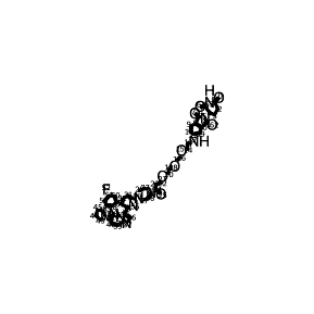 O=C1CCC(N2C(=O)c3ccc(NCCOCCOCCOCCC(=O)N4CCN(c5cccc(-c6cnc7ccc(N8CCC[C@@H]8c8cccc(F)c8)nn67)n5)CC4)cc3C2=O)C(=O)N1